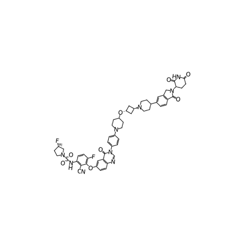 N#Cc1c(NS(=O)(=O)N2CC[C@@H](F)C2)ccc(F)c1Oc1ccc2ncn(-c3ccc(N4CCC(O[C@H]5C[C@H](N6CCC(c7ccc8c(c7)CN(C7CCC(=O)NC7=O)C8=O)CC6)C5)CC4)cc3)c(=O)c2c1